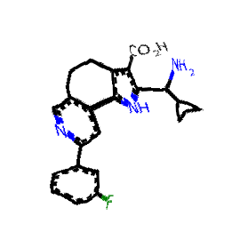 NC(c1[nH]c2c(c1C(=O)O)CCc1cnc(-c3cccc(F)c3)cc1-2)C1CC1